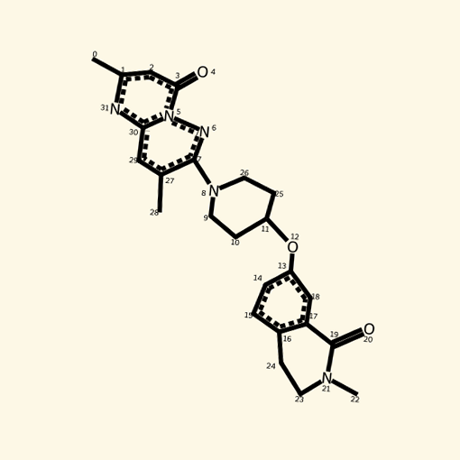 Cc1cc(=O)n2nc(N3CCC(Oc4ccc5c(c4)C(=O)N(C)CC5)CC3)c(C)cc2n1